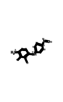 Cc1c(N)ccc(Nc2ccc(N=O)cc2)c1C